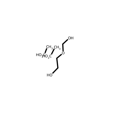 CC(=O)O.CC(=O)O.OCCOCO